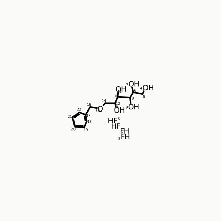 F.F.F.F.OCC(O)C(O)C(O)C(O)COCc1ccccc1